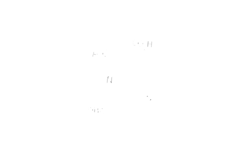 CC(CC(=O)O)N=C1C=NC=CC1C=O